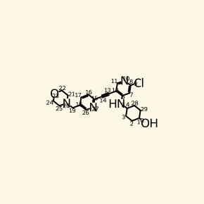 OC1CCC(Nc2cc(Cl)ncc2C#Cc2ccc(CN3CCOCC3)cn2)CC1